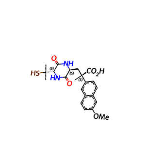 COc1ccc2cc([C@](C)(C[C@@H]3NC(=O)[C@@H](C(C)(C)S)NC3=O)C(=O)O)ccc2c1